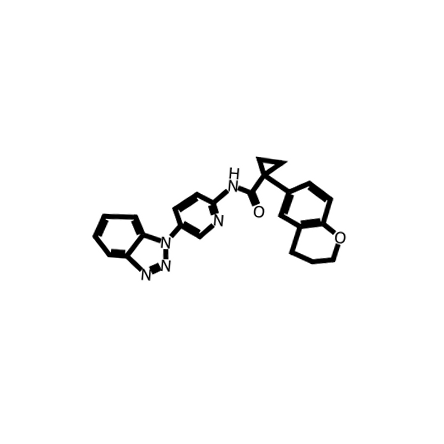 O=C(Nc1ccc(-n2nnc3ccccc32)cn1)C1(c2ccc3c(c2)CCCO3)CC1